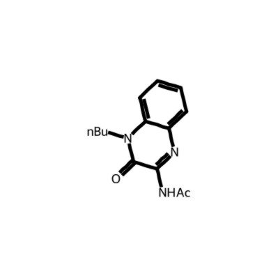 CCCCn1c(=O)c(NC(C)=O)nc2ccccc21